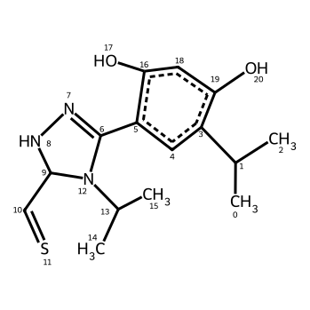 CC(C)c1cc(C2=NNC(C=S)N2C(C)C)c(O)cc1O